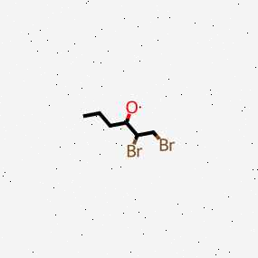 CCCC([O])C(Br)CBr